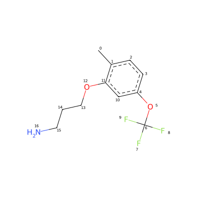 Cc1ccc(OC(F)(F)F)cc1OCCCN